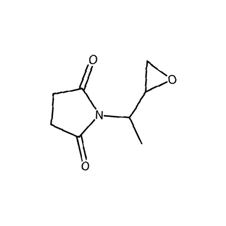 CC(C1CO1)N1C(=O)CCC1=O